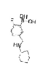 OB(O)c1cc(CNC2CCCCC2)ccc1F